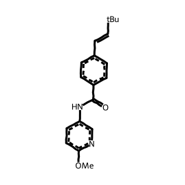 COc1ccc(NC(=O)c2ccc(/C=C/C(C)(C)C)cc2)cn1